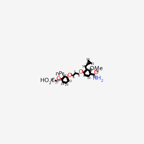 CCCc1c(OCCCOc2ccc(C(N)=O)c(OC)c2CC2CC2)cccc1OCC(=O)O